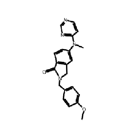 COc1ccc(CN2Cc3cc(N(C)c4ccncn4)ccc3C2=O)cc1